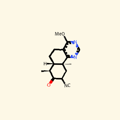 [C-]#[N+]C1C[C@]2(C)c3ncnc(OC)c3CC[C@H]2[C@H](C)C1=O